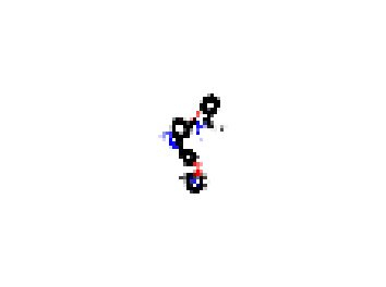 CC(C)C(NC(=O)c1ccc2[nH]nc(-c3ccc(OC4C[C@H]5CC[C@@H](C4)N5C)cc3)c2c1)c1ccccc1